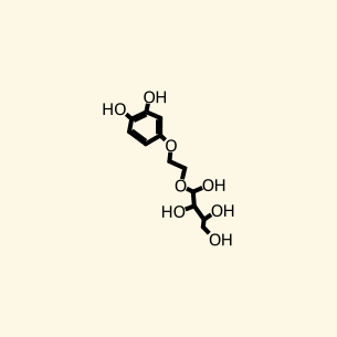 OCC(O)C(O)C(O)OCCOc1ccc(O)c(O)c1